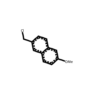 COc1ccc2cc(CCl)ccc2c1